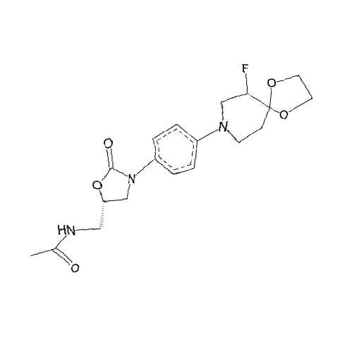 CC(=O)NC[C@H]1CN(c2ccc(N3CCC4(OCCO4)C(F)C3)cc2)C(=O)O1